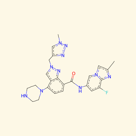 Cc1cn2cc(NC(=O)c3ccc(N4CCNCC4)c4cn(Cc5cn(C)nn5)nc34)cc(F)c2n1